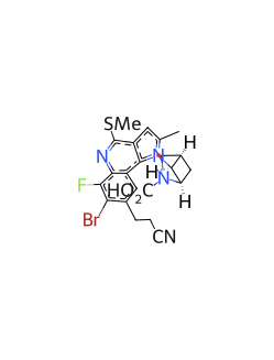 CSc1nc2c(F)c(Br)c(CCC#N)cc2c2c1cc(C)n2[C@H]1[C@@H]2C[C@H]1N(C(=O)O)C2